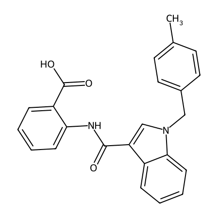 Cc1ccc(Cn2cc(C(=O)Nc3ccccc3C(=O)O)c3ccccc32)cc1